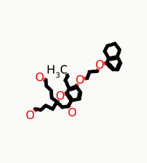 CCCc1c(OCCCOc2cccc3c2CCCC3)ccc2c1OC(CCCC=O)(CCCC=O)CC2=O